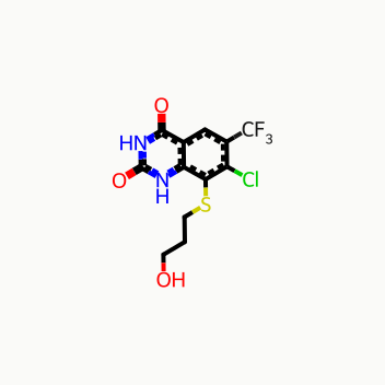 O=c1[nH]c(=O)c2cc(C(F)(F)F)c(Cl)c(SCCCO)c2[nH]1